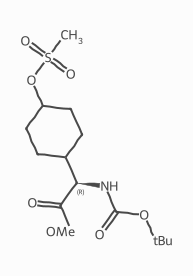 COC(=O)[C@H](NC(=O)OC(C)(C)C)C1CCC(OS(C)(=O)=O)CC1